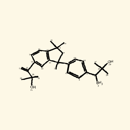 BC(c1ccc(C2(C)CC(C)(C)c3ccc(C(=C)C(C)(C)O)cc32)cc1)C(C)(C)O